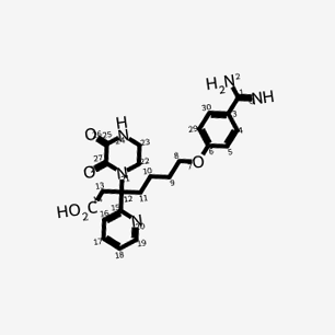 N=C(N)c1ccc(OCCCCC(CC(=O)O)(c2ccccn2)N2CCNC(=O)C2=O)cc1